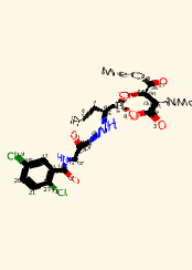 CN[C@@H]1C(=O)OB([C@H](CC(C)C)NC(=O)CNC(=O)c2cc(Cl)ccc2Cl)O[C@H]1C(=O)OC